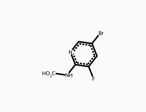 O=C(O)Nc1ncc(Br)cc1F